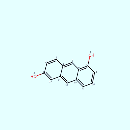 Oc1ccc2cc3c(O)cccc3cc2c1